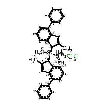 CC1=Cc2c(-c3ccccc3)cccc2[CH]1[Zr]([SiH3])([CH]1C(C)=Cc2c(-c3ccccc3)cccc21)[SiH](C)C.[Cl-].[Cl-]